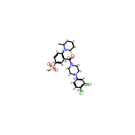 CC1CCCCN1c1ccc(S(C)(=O)=O)cc1C(=O)N1CCN(c2ccc(Cl)c(Cl)c2)CC1